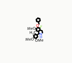 COc1cc(C)c(C2NCCc3c2cc(OC)c(OCc2ccccc2)c3F)cc1OC